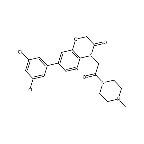 CN1CCN(C(=O)CN2C(=O)COc3cc(-c4cc(Cl)cc(Cl)c4)cnc32)CC1